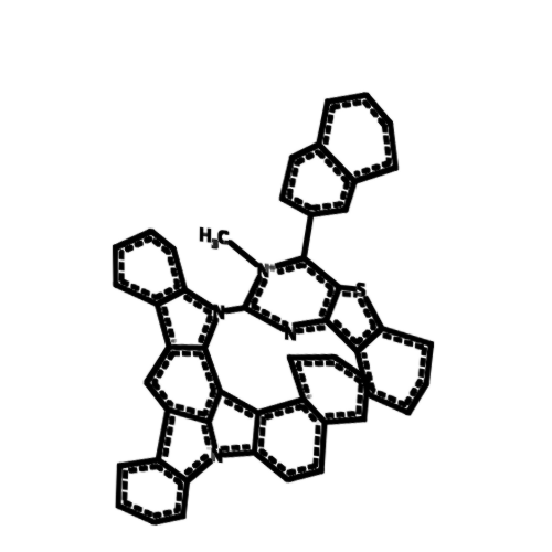 C[n+]1c(-n2c3ccccc3c3cc4c5ccccc5n5c6ccc7ccccc7c6c(c32)c45)nc2c(sc3ccccc32)c1-c1ccc2ccccc2c1